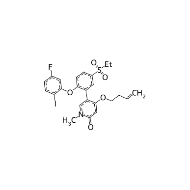 C=CCCOc1cc(=O)n(C)cc1-c1cc(S(=O)(=O)CC)ccc1Oc1cc(F)ccc1I